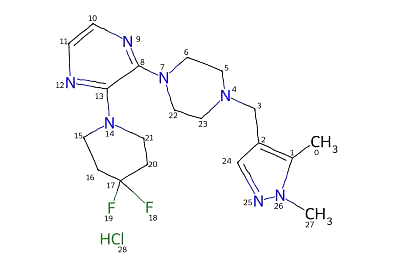 Cc1c(CN2CCN(c3nccnc3N3CCC(F)(F)CC3)CC2)cnn1C.Cl